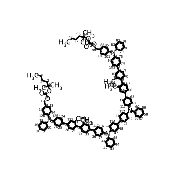 CCCCC(C)(C)OC(=O)OCc1ccc(N(c2ccccc2)c2ccc(-c3ccc(-c4ccc(-c5ccc(N(c6ccccc6)c6ccc(-c7ccc(N(c8ccccc8)c8ccc(-c9ccc(-c%10ccc(-c%11ccc(N(c%12ccccc%12)c%12ccc(COC(=O)OC(C)(C)CCCC)cc%12)cc%11)cc%10C)c(C)c9)cc8)cc7)cc6)cc5)cc4C)c(C)c3)cc2)cc1